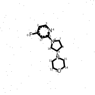 Fc1ccnc(N2CC[C@H](N3CCOCC3)C2)c1